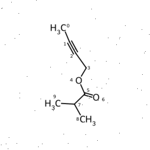 CC#CCOC(=O)C(C)C